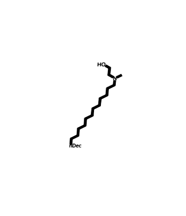 CCCCCCCCCCCCCCCCCCCCCCN(C)CCO